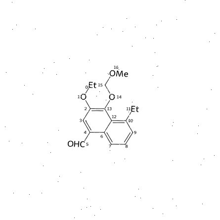 CCOc1cc(C=O)c2cccc(CC)c2c1OCOC